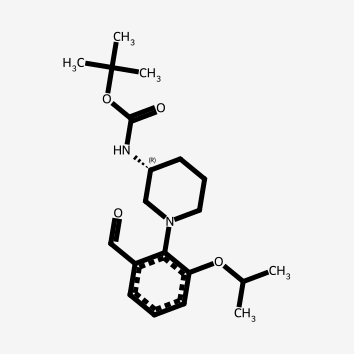 CC(C)Oc1cccc(C=O)c1N1CCC[C@@H](NC(=O)OC(C)(C)C)C1